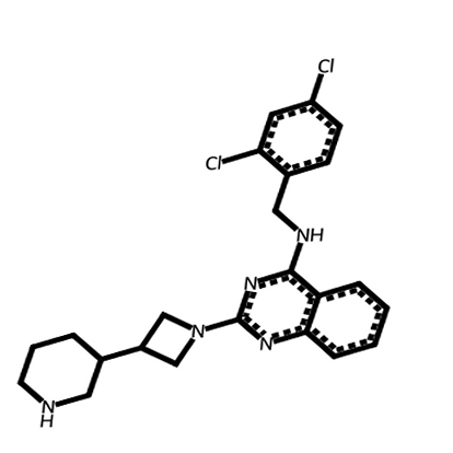 Clc1ccc(CNc2nc(N3CC(C4CCCNC4)C3)nc3ccccc23)c(Cl)c1